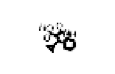 O=C(O)c1c(C2CC2)c2ccccc2[nH]c1=O